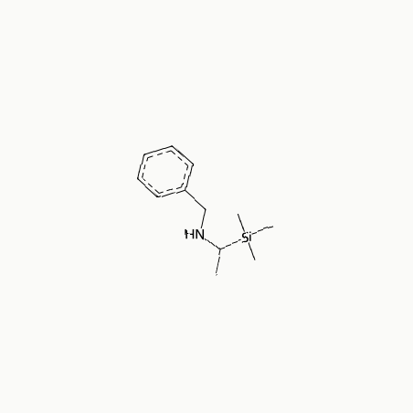 CC(NCc1ccccc1)[Si](C)(C)C